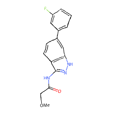 COCC(=O)Nc1n[nH]c2cc(-c3cccc(F)c3)ccc12